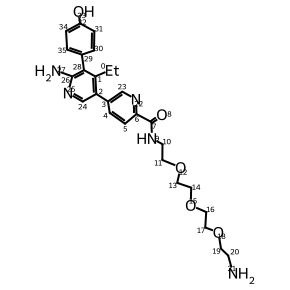 CCc1c(-c2ccc(C(=O)NCCOCCOCCOCCN)nc2)cnc(N)c1-c1ccc(O)cc1